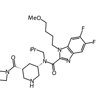 COCCCCn1c(C(=O)N(CC(C)C)[C@@H]2CNC[C@H](C(=O)N3CCC3)C2)nc2cc(F)c(F)cc21